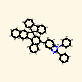 c1ccc(-c2nc3cc(-c4cc5c(c6ccccc46)-c4cc6ccccc6cc4C54c5ccccc5-c5ccccc54)ccc3n2-c2ccccc2)cc1